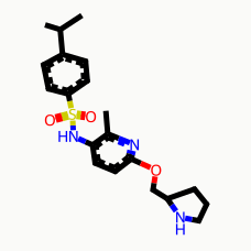 Cc1nc(OCC2CCCN2)ccc1NS(=O)(=O)c1ccc(C(C)C)cc1